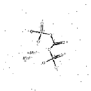 O=C(OP(=O)([O-])[O-])OP(=O)([O-])[O-].[Mn+2].[Mn+2]